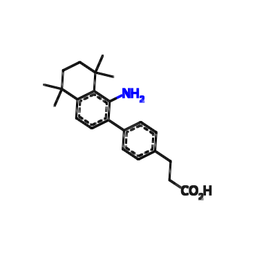 CC1(C)CCC(C)(C)c2c1ccc(-c1ccc(CCC(=O)O)cc1)c2N